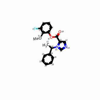 COc1c(F)cccc1OC(=O)c1cncn1C(C)c1ccccc1